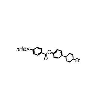 CCCCCCc1ccc(C(=O)Oc2ccc(C3CCC(CC)CC3)cc2)cc1